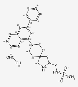 CS(=O)(=O)NCC1CC2(CCN(c3nc(-c4ccncc4)nc4cnccc34)CC2)CN1.O=CO